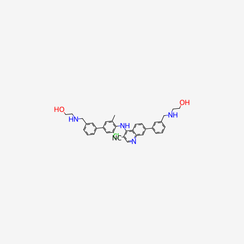 Cc1cc(-c2cccc(CNCCO)c2)cc(Cl)c1Nc1c(C#N)cnc2cc(-c3cccc(CNCCO)c3)ccc12